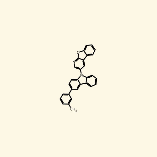 Cc1cccc(-c2ccc3c(c2)c2ccccc2n3-c2cnc3oc4ccccc4c3c2)c1